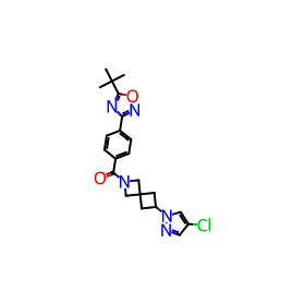 CC(C)(C)c1nc(-c2ccc(C(=O)N3CC4(CC(n5cc(Cl)cn5)C4)C3)cc2)no1